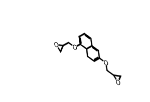 C1=CC2=CC(OCC3CO3)=CCC2C(OCC2CO2)=C1